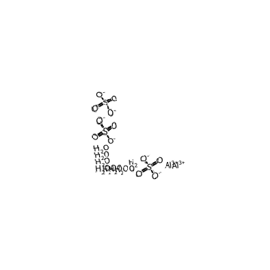 O.O.O.O.O.O.O.O.O=S(=O)([O-])[O-].O=S(=O)([O-])[O-].O=S(=O)([O-])[O-].[Al+3].[Al+3]